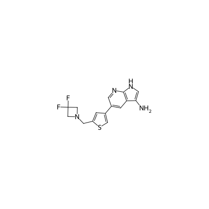 Nc1c[nH]c2ncc(-c3csc(CN4CC(F)(F)C4)c3)cc12